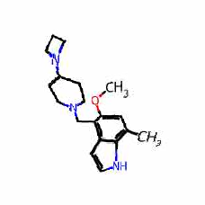 COc1cc(C)c2[nH]ccc2c1CN1CCC(N2CCC2)CC1